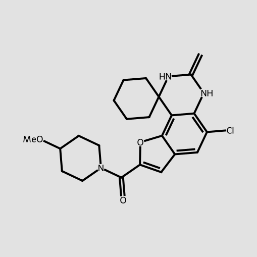 C=C1Nc2c(Cl)cc3cc(C(=O)N4CCC(OC)CC4)oc3c2C2(CCCCC2)N1